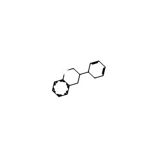 C1=CCC(C2COc3ccccc3C2)C=C1